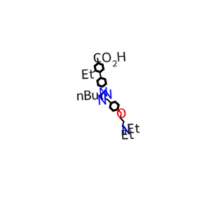 CCCCc1nc(-c2ccc(OCCCN(CC)CC)cc2)nn1-c1ccc(-c2ccc(C(=O)O)cc2CC)cc1